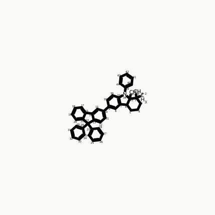 CC1(C)CCCC2c3cc(-c4ccc5c(c4)-c4ccccc4C5(c4ccccc4)c4ccccc4)ccc3N(c3ccccc3)C21C